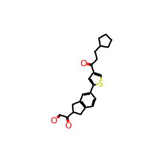 O=CC(=O)C1Cc2ccc(-c3cc(C(=O)CCC4CCCC4)cs3)cc2C1